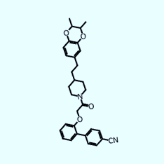 CC1Oc2ccc(CCC3CCN(C(=O)COc4ccccc4-c4ccc(C#N)cc4)CC3)cc2OC1C